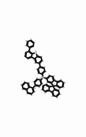 c1ccc(-c2cccc3c2oc2ccc(-c4ccc(N(c5ccc(-c6cccc7ccccc67)cc5)c5ccc6c(c5)C5(c7ccccc7-c7ccccc75)c5ccccc5-6)cc4)cc23)cc1